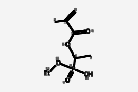 C=C(C)C(=O)OC(C)P(=O)(O)OCC